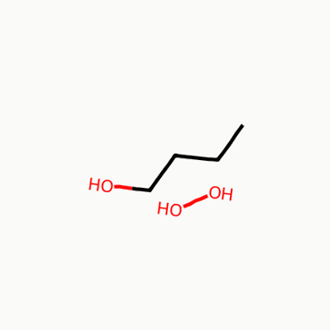 CCCCO.OO